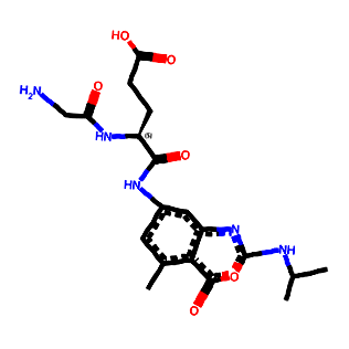 Cc1cc(NC(=O)[C@H](CCC(=O)O)NC(=O)CN)cc2nc(NC(C)C)oc(=O)c12